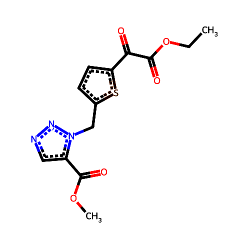 CCOC(=O)C(=O)c1ccc(Cn2nncc2C(=O)OC)s1